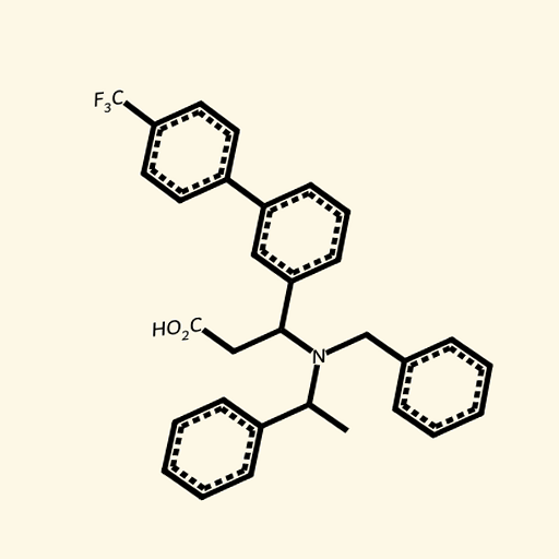 CC(c1ccccc1)N(Cc1ccccc1)C(CC(=O)O)c1cccc(-c2ccc(C(F)(F)F)cc2)c1